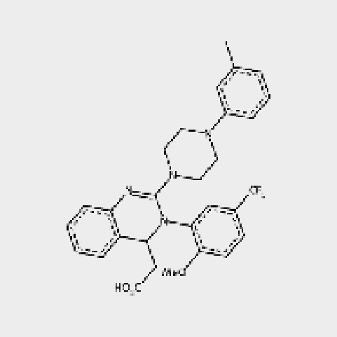 COc1ccc(C(F)(F)F)cc1N1C(N2CCN(c3cccc(C)c3)CC2)=Nc2ccccc2C1CC(=O)O